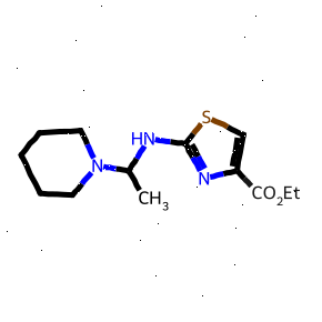 CCOC(=O)c1csc(NC(C)N2CCCCC2)n1